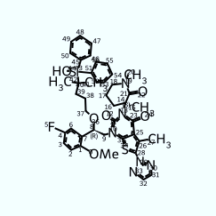 COc1ccc(F)cc1[C@H](Cn1c(=O)n([C@@]2(C)CCCN(C)C2=O)c(=O)c2c(C)c(-n3nccn3)sc21)OCCCC(C)(C)[Si](O)(c1ccccc1)c1ccccc1